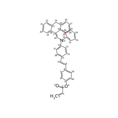 C=CC(=O)Oc1ccc(C=Cc2ccc(N(C=C3c4ccccc4Cc4ccccc43)c3ccccc3)cc2)cc1